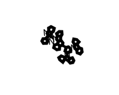 c1ccc2c(c1)nc(-n1c3ccccc3c3cc(-c4cc(-n5c6ccccc6c6ccccc65)cc(-n5c6ccccc6c6ccccc65)c4)c4ccccc4c31)n1c3ccccc3nc21